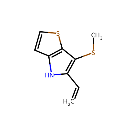 C=Cc1[nH]c2ccsc2c1SC